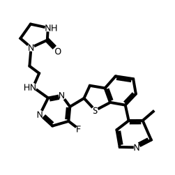 Cc1cnccc1-c1cccc2c1SC(c1nc(NCCN3CCNC3=O)ncc1F)C2